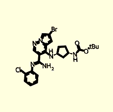 CC(C)(C)OC(=O)N[C@H]1CC[C@@H](Nc2c(/C(N)=N/c3ccccc3Cl)cnn3cc(Br)cc23)C1